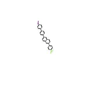 Fc1ccc(-c2ccc3cc(-c4ccc(-c5ccc(I)cc5)cc4)ccc3c2)cc1